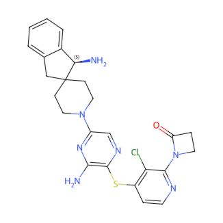 Nc1nc(N2CCC3(CC2)Cc2ccccc2[C@H]3N)cnc1Sc1ccnc(N2CCC2=O)c1Cl